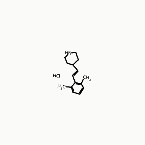 Cc1cccc(C)c1C=CC1CCNCC1.Cl